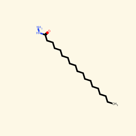 CCCCCCCCCCCCCCCCCCC(=O)NN